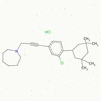 CC1(C)CC(c2ccc(C#CCN3CCCCCC3)cc2Cl)CC(C)(C)C1.Cl